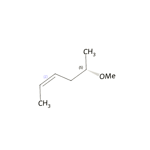 C/C=C\C[C@H](C)OC